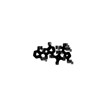 Cc1ccc([C@H](Nc2c(Nc3ccc(Cl)c4c3C(=O)N(c3c(C)cccc3C)C4)c(=O)c2=O)C(C)(C)C)o1